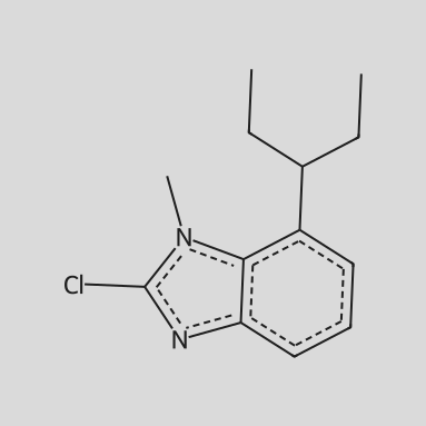 CCC(CC)c1cccc2nc(Cl)n(C)c12